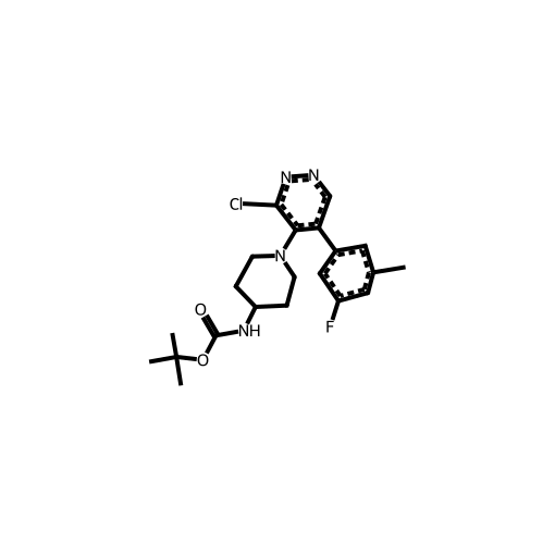 Cc1cc(F)cc(-c2cnnc(Cl)c2N2CCC(NC(=O)OC(C)(C)C)CC2)c1